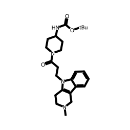 CN1CCc2c(c3ccccc3n2CCC(=O)N2CCC(NC(=O)OC(C)(C)C)CC2)C1